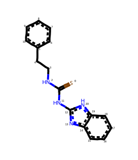 S=C(NCCc1ccccc1)Nc1nc2ccccc2[nH]1